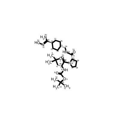 CC(C)(C)C[C@@H](NC(=O)OC(C)(C)C)C(=O)N1CCC[C@H]1C(=O)NC[C@H]1CC[C@H](C(N)=NO)CC1